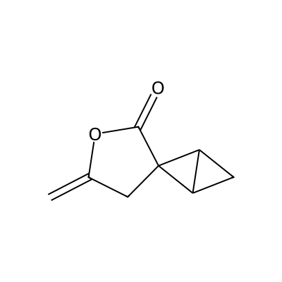 C=C1CC2(C(=O)O1)C1CC12